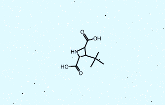 CC(C)(C)C1C(C(=O)O)NC1C(=O)O